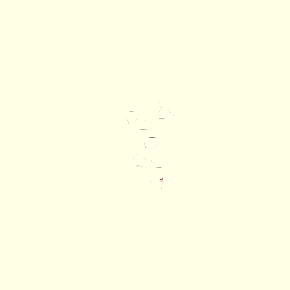 COc1ccc([C@H](Cc2c(Cl)cncc2Cl)OC(=O)c2ccc(CN(C(=O)O[C@H]3CN4CCC3CC4)c3cccc(C(F)F)c3)cc2)cc1OC